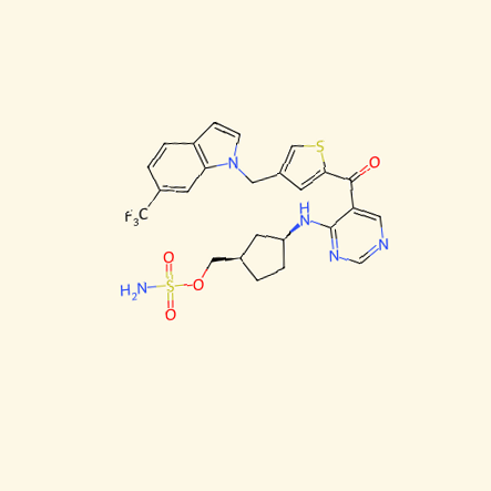 NS(=O)(=O)OC[C@@H]1CC[C@H](Nc2ncncc2C(=O)c2cc(Cn3ccc4ccc(C(F)(F)F)cc43)cs2)C1